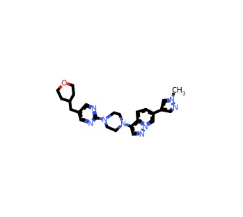 Cn1cc(-c2ccc3c(N4CCN(c5ncc(CC6CCOCC6)cn5)CC4)cnn3c2)cn1